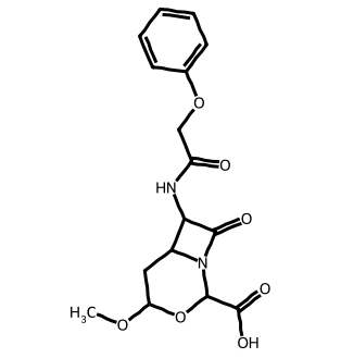 COC1CC2C(NC(=O)COc3ccccc3)C(=O)N2C(C(=O)O)O1